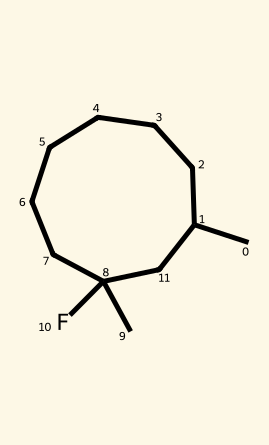 CC1CCCCCCC(C)(F)C1